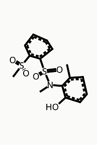 Cc1cccc(O)c1N(C)S(=O)(=O)c1ccccc1S(C)(=O)=O